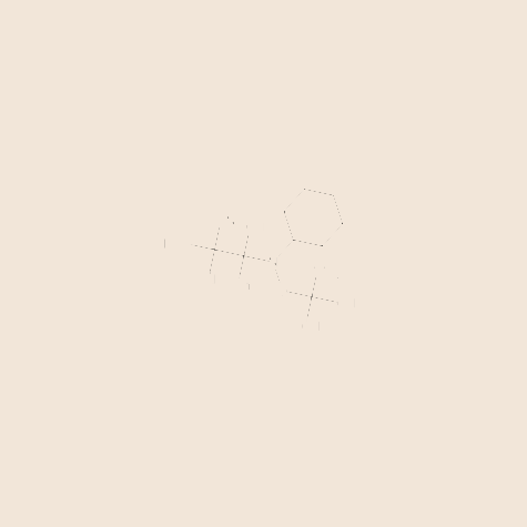 CC(C)C(C)(N(OC(C)(C)C(=O)O)C1CCCCC1)C(C)(C)C#N